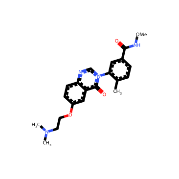 CONC(=O)c1ccc(C)c(-n2cnc3ccc(OCCN(C)C)cc3c2=O)c1